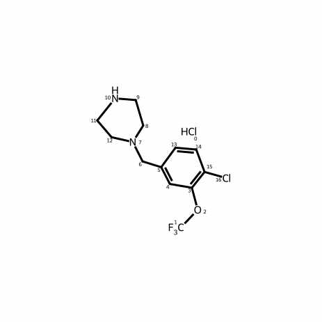 Cl.FC(F)(F)Oc1cc(CN2CCNCC2)ccc1Cl